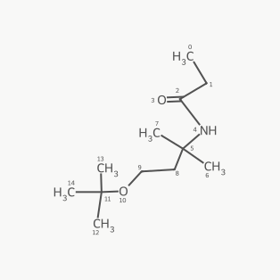 CCC(=O)NC(C)(C)CCOC(C)(C)C